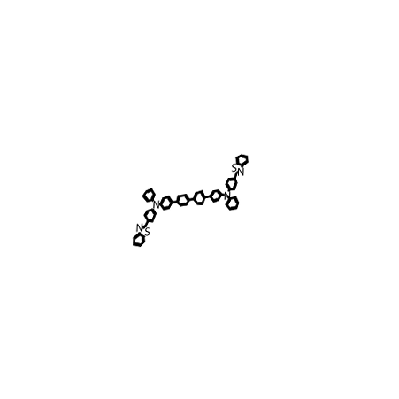 c1ccc(N(c2ccc(-c3ccc(-c4ccc(-c5ccc(N(c6ccccc6)c6ccc(-c7nc8ccccc8s7)cc6)cc5)cc4)cc3)cc2)c2ccc(-c3nc4ccccc4s3)cc2)cc1